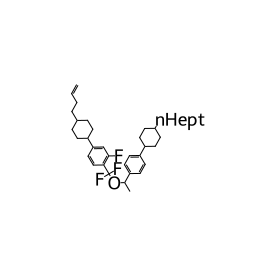 C=CCCC1CCC(c2ccc(C(F)(F)OC(C)c3ccc(C4CCC(CCCCCCC)CC4)cc3)c(F)c2)CC1